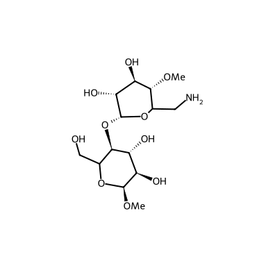 CO[C@H]1OC(CO)[C@@H](O[C@H]2OC(CN)[C@@H](OC)[C@H](O)[C@H]2O)[C@H](O)[C@H]1O